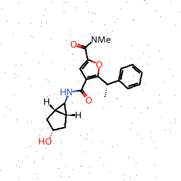 CNC(=O)c1cc(C(=O)N[C@H]2[C@@H]3C[C@H](O)C[C@@H]32)c([C@@H](C)c2ccccc2)o1